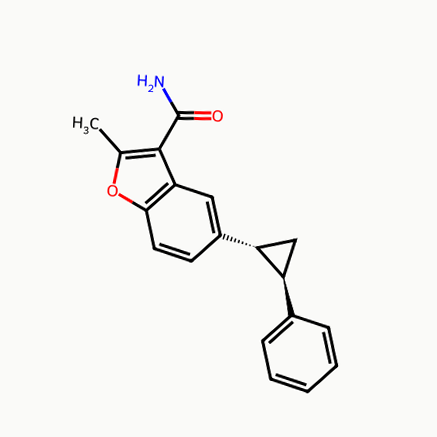 Cc1oc2ccc([C@@H]3C[C@H]3c3ccccc3)cc2c1C(N)=O